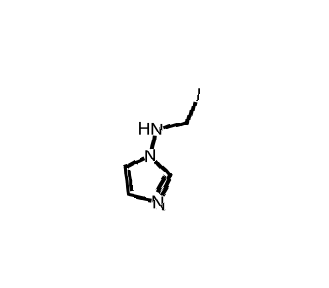 ICNn1ccnc1